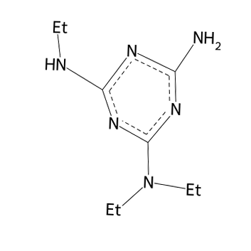 CCNc1nc(N)nc(N(CC)CC)n1